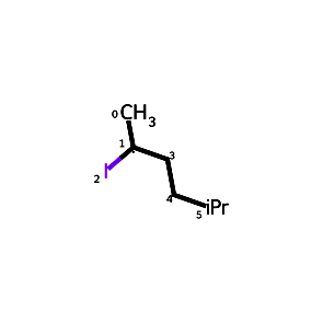 C[C](I)CCC(C)C